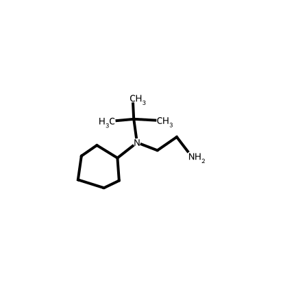 CC(C)(C)N(CCN)C1CCCCC1